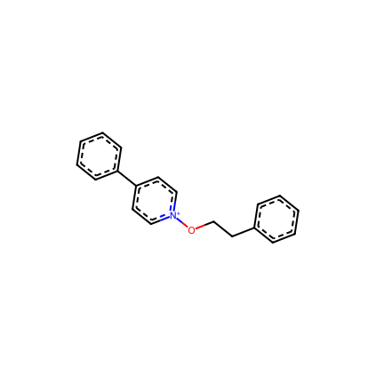 c1ccc(CCO[n+]2ccc(-c3ccccc3)cc2)cc1